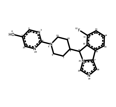 Oc1cnc(N2CCC(C3c4c(F)cccc4-c4cncn43)CC2)nc1